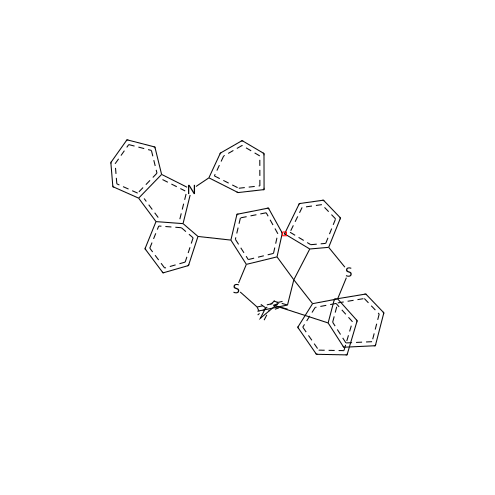 c1ccc(-c2cccc3c2C2(c4ccccc4Sc4ccccc42)c2cccc(-c4cccc5c6ccccc6n(-c6ccccc6)c45)c2S3)cc1